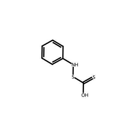 OC(=S)SNc1ccccc1